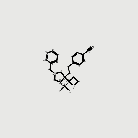 N#Cc1ccc(CC[C@@]2([C@@]3(C(F)(F)F)CCO3)CCN(Cc3cccnn3)C2)cc1